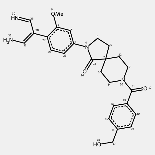 COc1cc(N2CCC3(CCN(C(=O)c4ccc(CO)cc4)CC3)C2=O)ccc1/C(C=N)=C/N